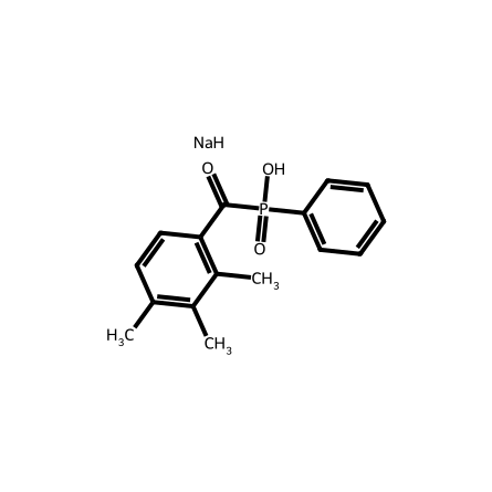 Cc1ccc(C(=O)P(=O)(O)c2ccccc2)c(C)c1C.[NaH]